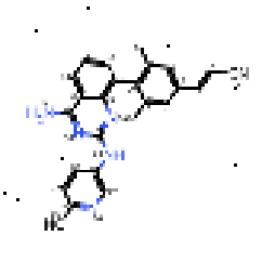 Cc1cc(/C=C/C#N)cc(C)c1-c1cccc2c(N)nc(Nc3ccc(C#N)nc3)nc12